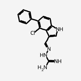 N=C(N)NN=Cc1c[nH]c2ccc(-c3ccccc3)c(Cl)c12